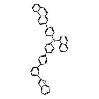 c1cc(-c2ccc(-c3ccc(N(c4ccc(-c5ccc6c(ccc7ccccc76)c5)cc4)c4cccc5ccccc45)cc3)cc2)cc(-c2cc3ccccc3o2)c1